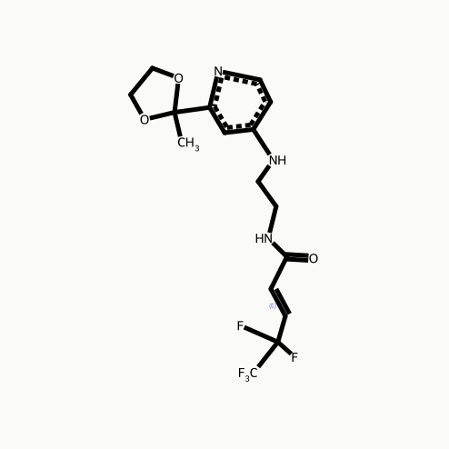 CC1(c2cc(NCCNC(=O)/C=C/C(F)(F)C(F)(F)F)ccn2)OCCO1